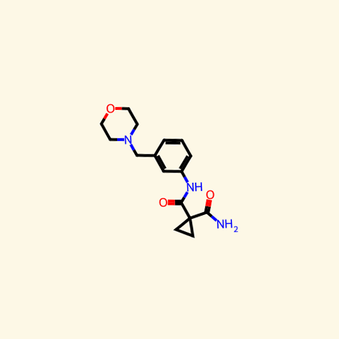 NC(=O)C1(C(=O)Nc2cccc(CN3CCOCC3)c2)CC1